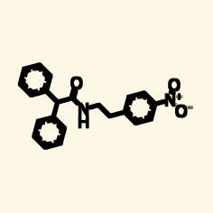 O=C(NCCc1ccc([N+](=O)[O-])cc1)C(c1ccccc1)c1ccccc1